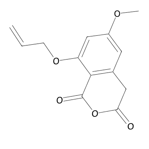 C=CCOc1cc(OC)cc2c1C(=O)OC(=O)C2